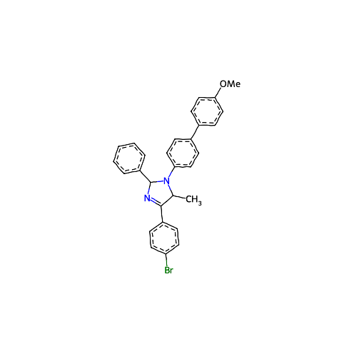 COc1ccc(-c2ccc(N3C(C)C(c4ccc(Br)cc4)=NC3c3ccccc3)cc2)cc1